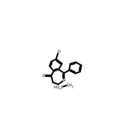 CS(=O)(=O)O.O=C1CCN=C(c2ccccc2)c2cc(Cl)ccc21